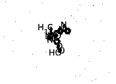 CCCc1c(Cc2ccc(-c3ccccc3C#N)nc2)c(=O)n(C2CCC(OCC(=O)O)CC2)c2ncnn12